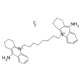 Nc1c2c([n+](CCCCCCCC[n+]3c4c(c(N)c5ccccc53)CCCC4)c3ccccc13)CCCC2.[I-].[I-]